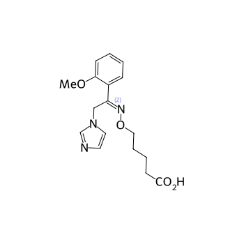 COc1ccccc1/C(Cn1ccnc1)=N/OCCCCC(=O)O